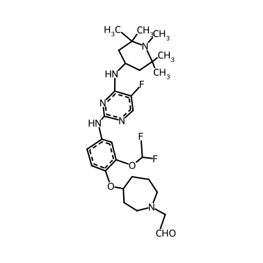 CN1C(C)(C)CC(Nc2nc(Nc3ccc(OC4CCCN(CC=O)CC4)c(OC(F)F)c3)ncc2F)CC1(C)C